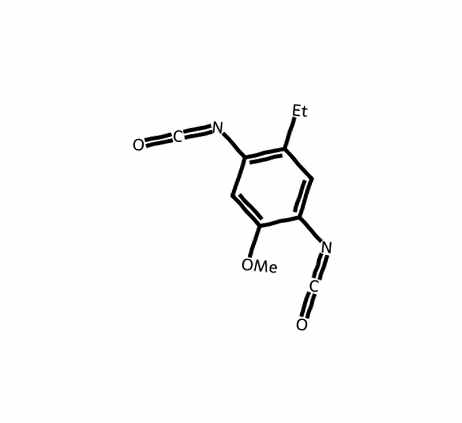 CCc1cc(N=C=O)c(OC)cc1N=C=O